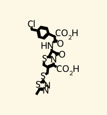 Cc1nnc(SCC2=C(C(=O)O)N3C(=O)C(NC(=O)C(C(=O)O)c4ccc(CCl)cc4)C3SC2)s1